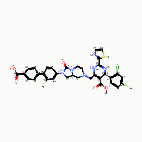 COC(=O)C1=C(CN2CCN3C(=O)N(c4ccc(-c5ccc(C(=O)O)cc5)c(F)c4)CC3C2)NC(c2nccs2)=N[C@H]1c1ccc(F)cc1Cl